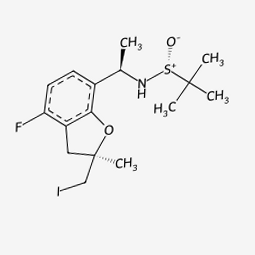 C[C@@H](N[S@+]([O-])C(C)(C)C)c1ccc(F)c2c1O[C@@](C)(CI)C2